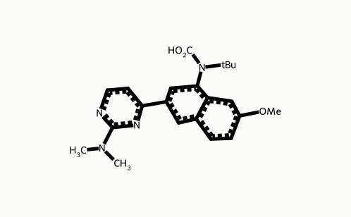 COc1ccc2cc(-c3ccnc(N(C)C)n3)cc(N(C(=O)O)C(C)(C)C)c2c1